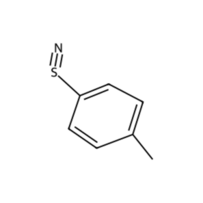 Cc1ccc(S#N)cc1